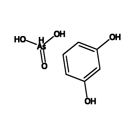 O=[AsH](O)O.Oc1cccc(O)c1